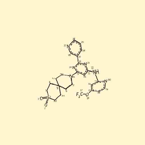 O=S1(=O)CCC2(CCN(c3cc(Nc4cc(OC(F)(F)F)ccn4)nc(-c4cccnc4)n3)CC2)CC1